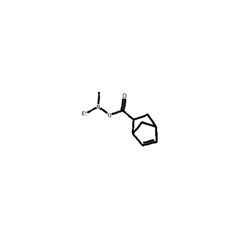 CCN(C)OC(=O)C1CC2C=CC1C2